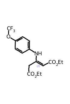 CCOC(=O)/C=C(/CC(=O)OCC)Nc1ccc(OC(F)(F)F)cc1